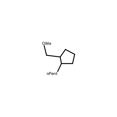 CCCCCC1CCCC1COC